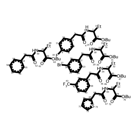 CCC(NC(=O)Cc1ccc(F)cc1)C(=O)OCC(C)C.CCC(NC(=O)Cc1cccc(Br)c1)C(=O)OCC(C)C.CCC(NC(=O)Cc1cccc(C(F)(F)F)c1)C(=O)OCC(C)C.CCC(NC(=O)Cc1ccccc1)C(=O)OCC(C)C.CCC(NC(=O)Cc1cccs1)C(=O)OCC(C)C